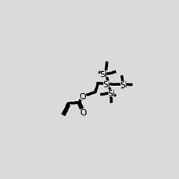 C=CC(=O)OCC[Si]([Si](C)(C)C)([Si](C)(C)C)[Si](C)(C)C